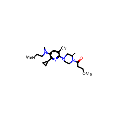 CNCCN(C)c1cc(C#N)c(N2CCN(C(=O)CCOC)[C@H](C)C2)nc1C1CC1